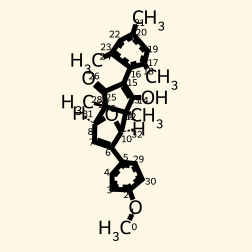 COc1ccc(C2=C[C@@H]3O[C@H]2[C@@]2(C)C(O)=C(c4c(C)cc(C)cc4C)C(=O)[C@@]32C)cc1